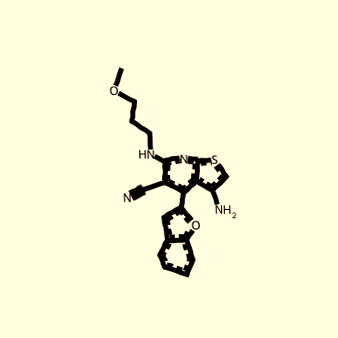 COCCCNc1nc2scc(N)c2c(-c2cc3ccccc3o2)c1C#N